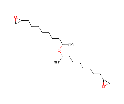 CCCC(CCCCCCCC1CO1)OC(CCC)CCCCCCCC1CO1